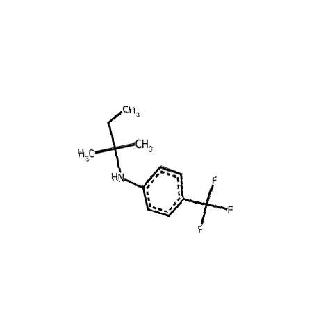 CCC(C)(C)Nc1ccc(C(F)(F)F)cc1